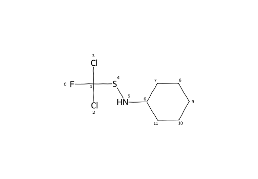 FC(Cl)(Cl)SNC1CCCCC1